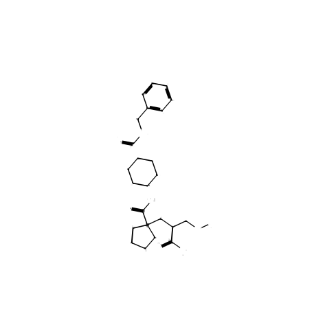 COCC(CC1(C(=O)N[C@H]2CC[C@@H](C(=O)OCc3ccccc3)CC2)CCCC1)C(=O)O